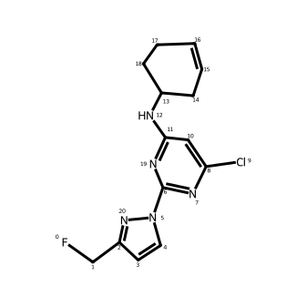 FCc1ccn(-c2nc(Cl)cc(NC3CC=CCC3)n2)n1